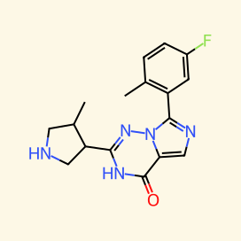 Cc1ccc(F)cc1-c1ncc2c(=O)[nH]c(C3CNCC3C)nn12